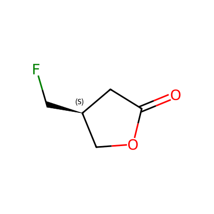 O=C1C[C@H](CF)CO1